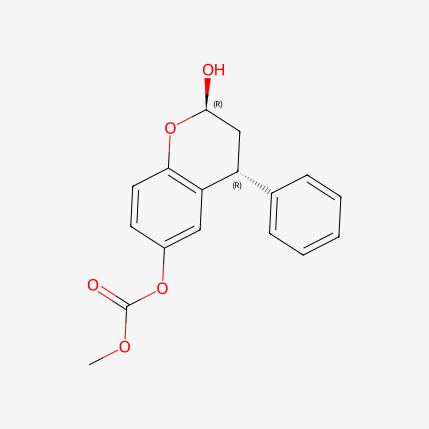 COC(=O)Oc1ccc2c(c1)[C@@H](c1ccccc1)C[C@H](O)O2